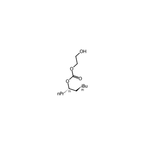 CCC[C@@H](C[C@H](C)CC)OC(=O)OCCO